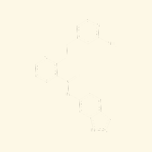 Nc1cc(CSc2ncccc2C(=O)Nc2ccc3cn[nH]c3c2)ccn1